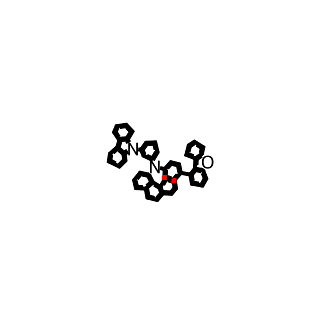 c1cc(N(c2ccc(-c3cccc4oc5ccccc5c34)cc2)c2cccc3ccc4ccccc4c23)cc(-n2c3ccccc3c3ccccc32)c1